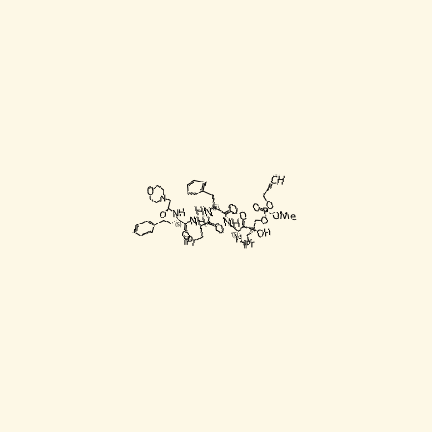 C#CCOP(=O)(OC)OC[C@@](C)(O)C(=O)[C@H](CC(C)C)NC(=O)[C@H](Cc1ccccc1)NC(=O)C(CC(C)C)NC(=O)[C@H](CCc1ccccc1)NC(=O)CN1CCOCC1